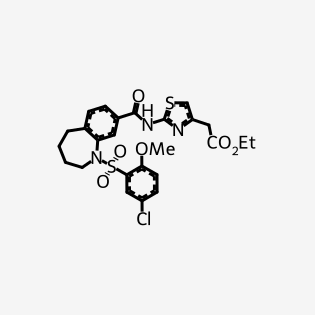 CCOC(=O)Cc1csc(NC(=O)c2ccc3c(c2)N(S(=O)(=O)c2cc(Cl)ccc2OC)CCCC3)n1